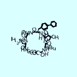 CC(C)[C@H]1NC(=O)[C@@H](Cc2ccc(-c3ccccc3)cc2)NC(=O)[C@@H]2C[C@@H](O)CN2C(=O)[C@H](C(C)(C)C)NC(O)COCCNC(=O)[C@@H](CN)NC1=O